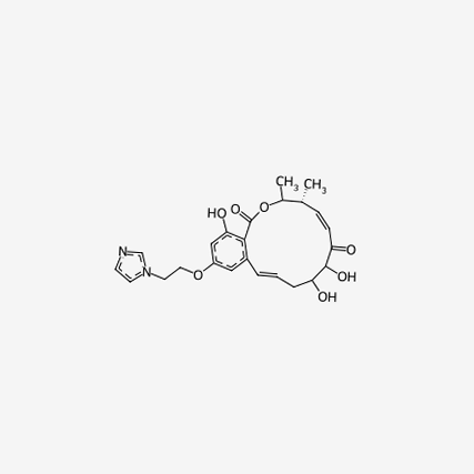 CC1OC(=O)c2c(O)cc(OCCn3ccnc3)cc2/C=C/CC(O)C(O)C(=O)/C=C\[C@H]1C